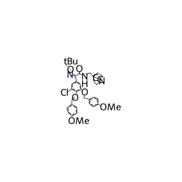 COc1ccc(COc2cc(/C(=N/OCC(C)(C)C)C(=O)NCC34CCN(CC3)CC4)cc(Cl)c2OCc2ccc(OC)cc2)cc1